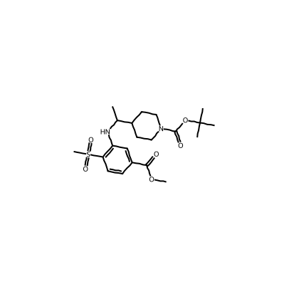 COC(=O)c1ccc(S(C)(=O)=O)c(NC(C)C2CCN(C(=O)OC(C)(C)C)CC2)c1